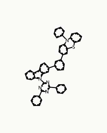 c1ccc(-c2nc(-c3ccccc3)nc(-n3c4ccccc4c4ccc(-c5cccc(-c6ccc7c(c6)Sc6ccccc6N7c6ccccc6)c5)cc43)n2)cc1